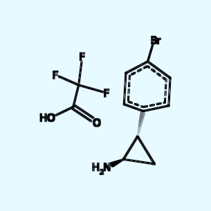 N[C@@H]1C[C@H]1c1ccc(Br)cc1.O=C(O)C(F)(F)F